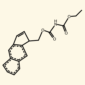 CCOC(=O)NC(=O)OCC1C=Cc2cc3ccccc3cc21